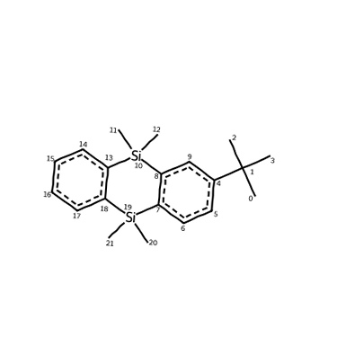 CC(C)(C)c1ccc2c(c1)[Si](C)(C)c1ccccc1[Si]2(C)C